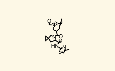 CCCCC(CN(O)C=O)C(=O)N1CC2(CC2)CC1C(=O)Nc1nc(C)cs1